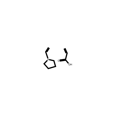 C=CC(=O)O.C=CN1CCCC1